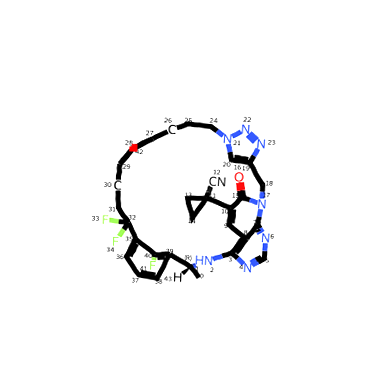 C[C@H]1Nc2ncnc3c2cc(C2(C#N)CC2)c(=O)n3Cc2cn(nn2)CCCC2CC(CCC(F)(F)c3cccc1c3F)C2